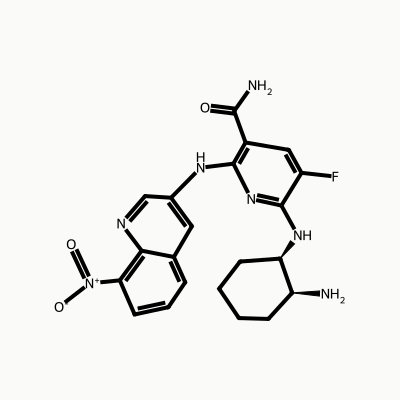 NC(=O)c1cc(F)c(N[C@@H]2CCCC[C@@H]2N)nc1Nc1cnc2c([N+](=O)[O-])cccc2c1